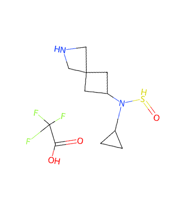 O=C(O)C(F)(F)F.O=[SH]N(C1CC1)C1CC2(CNC2)C1